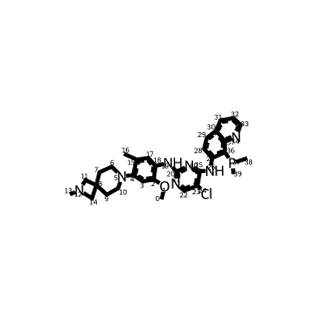 COc1cc(N2CCC3(CC2)CN(C)C3)c(C)cc1Nc1ncc(Cl)c(Nc2ccc3cccnc3c2P(C)C)n1